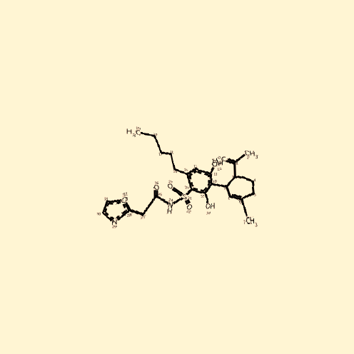 C=C(C)C1CCC(C)=CC1c1c(O)cc(CCCCC)c(S(=O)(=O)NC(=O)Cc2ncco2)c1O